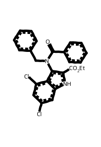 CCOC(=O)c1[nH]c2cc(Cl)cc(Cl)c2c1N(Cc1ccccc1)C(=O)c1ccccc1